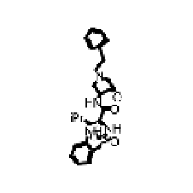 CC(C)C[C@H](NS(=O)(=O)Cc1ccccc1N)C(=O)NC1CN(CCc2ccccc2)CC1=O